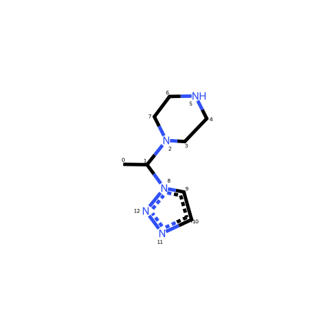 CC(N1CCNCC1)n1c[c]nn1